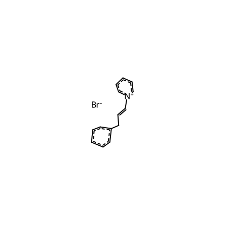 C(=C[n+]1ccccc1)Cc1ccccc1.[Br-]